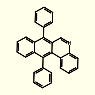 c1ccc(-c2c3ccccc3c(-c3ccccc3)c3c2cnc2ccccc23)cc1